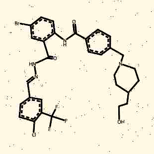 O=C(Nc1ccc(Br)cc1C(=O)NN=Cc1ccc(Cl)c(C(F)(F)F)c1)c1ccc(CN2CCC(CCO)CC2)cc1